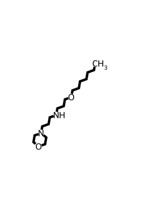 CCCCCCCOCCCNCCCN1CCOCC1